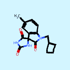 Cc1ccc2c(c1)C1(NC(=O)NC1=O)C(=O)N2CC1CCC1